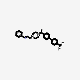 CC(c1ccc(-c2ccc(C(F)F)cc2)cc1)N1CCN(C/C=C/c2ccccc2)CC1